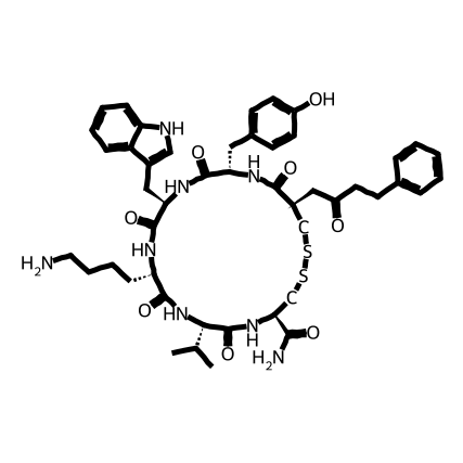 CC(C)[C@@H]1NC(=O)[C@H](CCCCN)NC(=O)[C@@H](Cc2c[nH]c3ccccc23)NC(=O)[C@H](Cc2ccc(O)cc2)NC(=O)[C@@H](CC(=O)CCc2ccccc2)CSSC[C@@H](C(N)=O)NC1=O